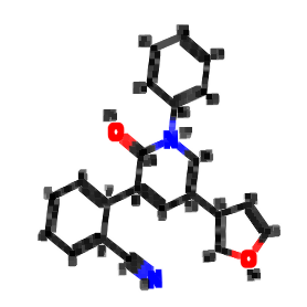 N#Cc1ccccc1-c1cc(-c2ccoc2)cn(-c2ccccc2)c1=O